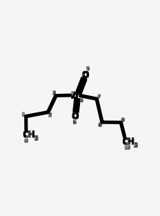 CCC[CH2][Zr](=[O])(=[O])[CH2]CCC